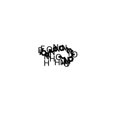 CNC(=O)N(CCC=O)c1cc(C(=O)N2CCC(CN3CCC(n4cc(NC(=O)c5n[nH]c6c5CC(F)(F)C(C)(C)C6)cn4)CC3)CC2)ccc1F